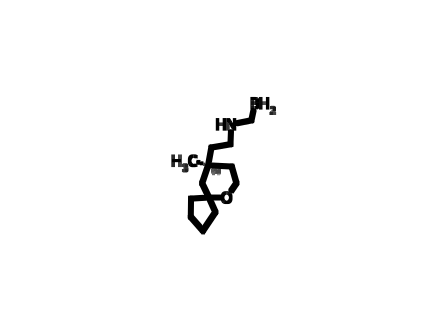 BCNCC[C@@]1(C)CCOC2(CCCC2)C1